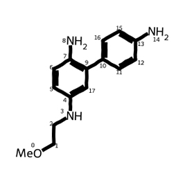 COCCNc1ccc(N)c(-c2ccc(N)cc2)c1